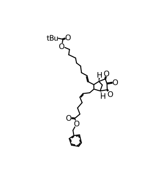 CC(C)(C)C(=O)OCCCCCCC=CC1C(C/C=C\CCCC(=O)OCc2ccccc2)[C@H]2C[C@H]1C(=O)C(=O)C2=O